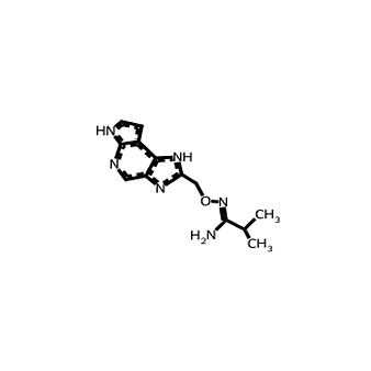 CC(C)/C(N)=N/OCc1nc2cnc3[nH]ccc3c2[nH]1